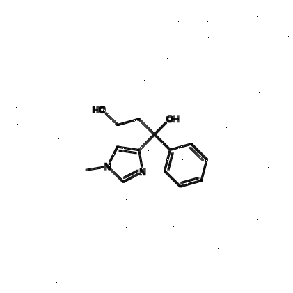 Cn1cnc(C(O)(CCO)c2ccccc2)c1